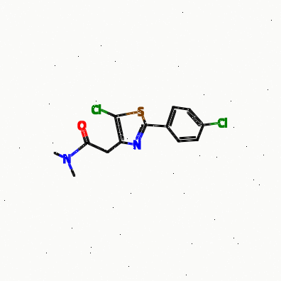 CN(C)C(=O)Cc1nc(-c2ccc(Cl)cc2)sc1Cl